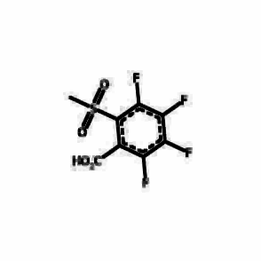 CS(=O)(=O)c1c(F)c(F)c(F)c(F)c1C(=O)O